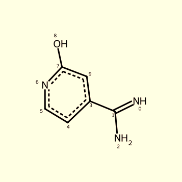 N=C(N)c1ccnc(O)c1